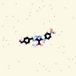 NC(=O)c1c(Nc2ccc([N+](=O)[O-])cc2)n[nH]c1/N=C/c1ccc(CI)cc1